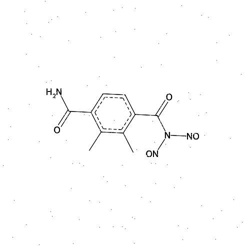 Cc1c(C(N)=O)ccc(C(=O)N(N=O)N=O)c1C